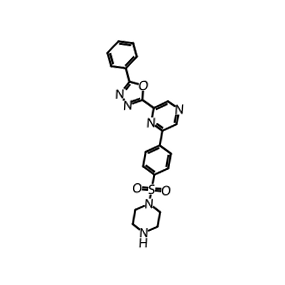 O=S(=O)(c1ccc(-c2cncc(-c3nnc(-c4ccccc4)o3)n2)cc1)N1CCNCC1